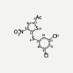 CC(=O)c1cc([N+](=O)[O-])c(Sc2cc(Cl)cc(Cl)c2)s1